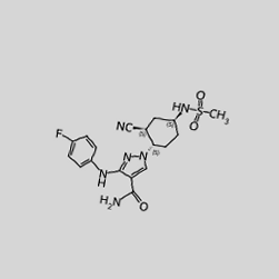 CS(=O)(=O)N[C@H]1CC[C@H](n2cc(C(N)=O)c(Nc3ccc(F)cc3)n2)[C@@H](C#N)C1